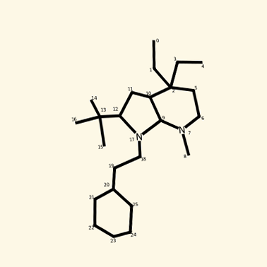 CCC1(CC)CCN(C)C2C1CC(C(C)(C)C)N2CCC1CCCCC1